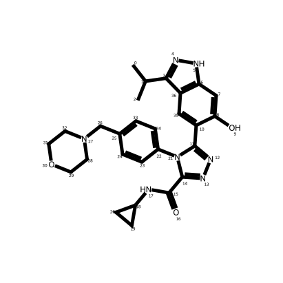 CC(C)c1n[nH]c2cc(O)c(-c3nnc(C(=O)NC4CC4)n3-c3ccc(CN4CCOCC4)cc3)cc12